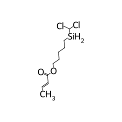 CC=CC(=O)OCCCCC[SiH2]C(Cl)Cl